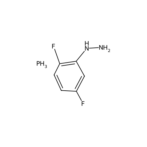 NNc1cc(F)ccc1F.P